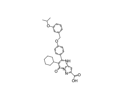 CC(C)Oc1cccc(COc2ccc(-c3[nH]c4cc(C(=O)O)nn4c(=O)c3C3CCCCC3)cc2)c1